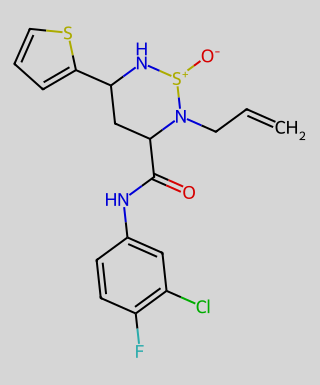 C=CCN1C(C(=O)Nc2ccc(F)c(Cl)c2)CC(c2cccs2)N[S+]1[O-]